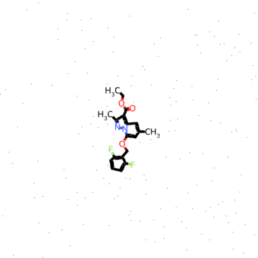 CCOC(=O)c1c(C)nn2c(OCc3c(F)cccc3F)cc(C)cc12